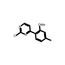 COc1cc(I)ccc1-c1ccnc(Cl)n1